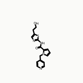 O=C(Nc1ncc(CCO)s1)c1cccn1Cc1ccncc1